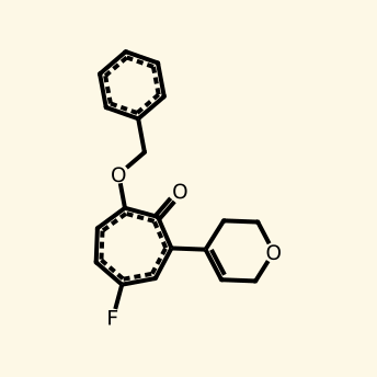 O=c1c(OCc2ccccc2)ccc(F)cc1C1=CCOCC1